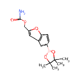 CC1(C)OB(c2ccc3oc(COC(N)=O)cc3c2)OC1(C)C